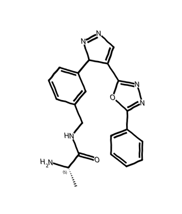 C[C@H](N)C(=O)NCc1cccc(C2N=NC=C2c2nnc(-c3ccccc3)o2)c1